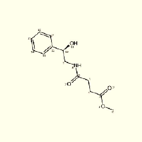 COC(=O)CCC(=O)NC[C@H](O)c1ccccc1